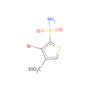 CCOC(=O)c1csc(S(N)(=O)=O)c1Br